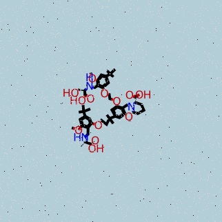 COc1cc(C(C)(C)C)cc(OCCC(C)(C)c2cc(OC)c(CN3CCCC[C@H]3C(=O)O)c(OCCOc3cc(C(C)(C)C)cc(OC)c3CN[C@H](CO)C(=O)O)c2)c1CN[C@@H](C)C(=O)O